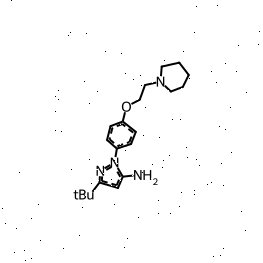 CC(C)(C)c1cc(N)n(-c2ccc(OCCN3CCCCC3)cc2)n1